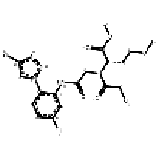 COCC[C@@H](C(=O)OC)N(CC(=O)Nc1cc(Cl)ccc1-n1cc(Cl)nn1)C(=O)CCl